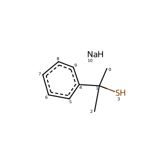 CC(C)(S)c1ccccc1.[NaH]